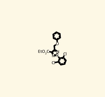 CCOC(=O)c1nn(-c2c(Cl)cccc2Cl)nc1COc1ccccc1